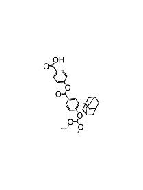 CCOC(OC)Oc1ccc(C(=O)Oc2ccc(C(=O)O)cc2)cc1C12CC3CC(CC(C3)C1)C2